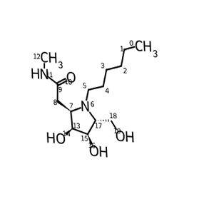 CCCCCCN1[C@H](CC(=O)NC)[C@H](O)[C@H](O)[C@H]1CO